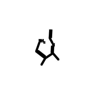 C=C/N=C(C)\C(C)=C/N